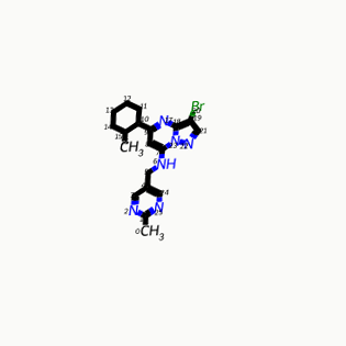 Cc1ncc(CNc2cc(C3CCCCC3C)nc3c(Br)cnn23)cn1